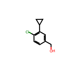 OCc1ccc(Cl)c(C2CC2)c1